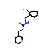 Cc1ccccc1CNC(=O)[CH]Cc1cccnc1